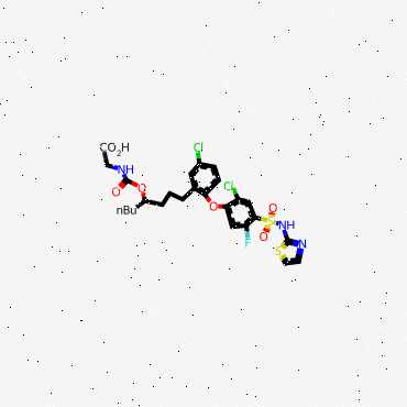 CCCCC(CCCc1cc(Cl)ccc1Oc1cc(F)c(S(=O)(=O)Nc2nccs2)cc1Cl)OC(=O)NCC(=O)O